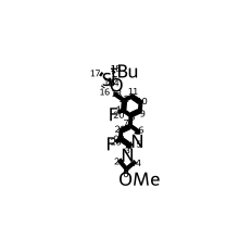 COC1CN(c2ncc(-c3cccc(CO[Si](C)(C)C(C)(C)C)c3F)cc2F)C1